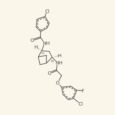 O=C(COc1ccc(Cl)c(F)c1)N[C@@H]1C[C@H](NC(=O)c2ccc(Cl)cc2)C2CC1C2